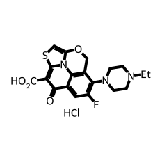 CCN1CCN(c2c(F)cc3c(=O)c(C(=O)O)c4scc5n4c3c2CO5)CC1.Cl